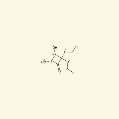 CCOC1(OCC)C(=O)C(O)C1O